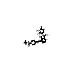 CC(C)(C)OC(=O)N1CCC(C#Cc2cccc3c2CN(C2CCC(=O)NC2=O)C3O)CC1